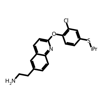 CC(C)Sc1ccc(Oc2ccc3cc(CCN)ccc3n2)c(Cl)c1